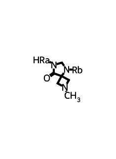 CN1CC2(C1)C(=O)[N]([RaH])C[N]2[Rb]